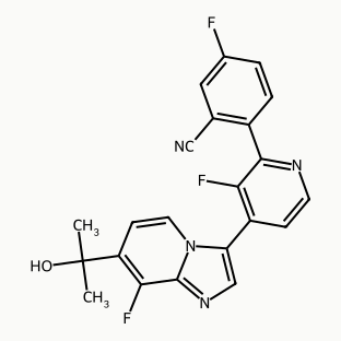 CC(C)(O)c1ccn2c(-c3ccnc(-c4ccc(F)cc4C#N)c3F)cnc2c1F